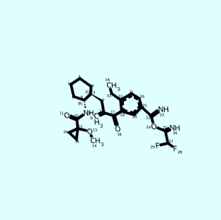 C=C(C[C@@H]1CCCC[C@H]1NC(=O)C1(OC)CC1)C(=O)c1cc(C(=N)OC(=N)C(F)F)ccc1CC